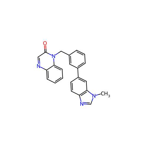 Cn1cnc2ccc(-c3cccc(Cn4c(=O)cnc5ccccc54)c3)cc21